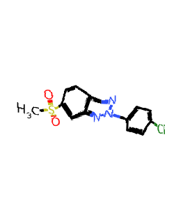 CS(=O)(=O)c1ccc2nn(-c3ccc(Cl)cc3)nc2c1